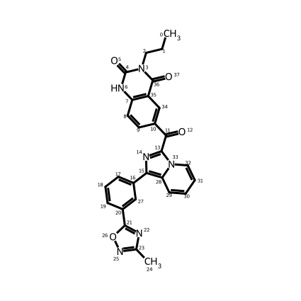 CCCn1c(=O)[nH]c2ccc(C(=O)c3nc(-c4cccc(-c5nc(C)no5)c4)c4ccccn34)cc2c1=O